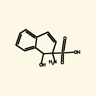 NC1(S(=O)(=O)O)C=Cc2ccccc2C1O